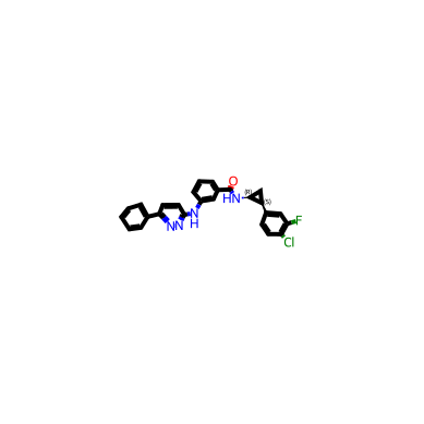 O=C(N[C@@H]1C[C@H]1c1ccc(Cl)c(F)c1)c1cccc(Nc2ccc(-c3ccccc3)nn2)c1